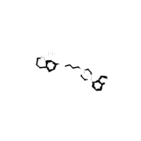 O=CN1C(=O)CCc2ccc(OCCCCN3CCN(c4cccc5sccc45)CC3)cc21